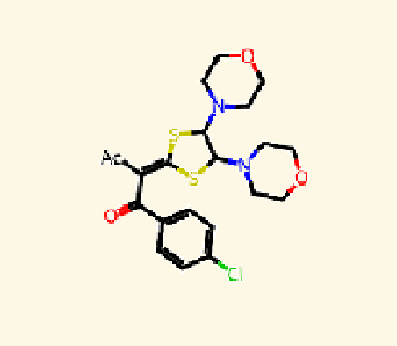 CC(=O)C(C(=O)c1ccc(Cl)cc1)=C1SC(N2CCOCC2)C(N2CCOCC2)S1